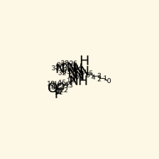 CCCCCCCNc1nc(NCCc2ccc(OC)c(F)c2)nc(N(C)C2CCN(C)CC2)n1